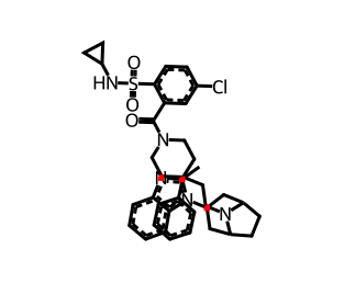 Cc1nc2ccccc2n1C1CC2CCC(C1)N2CCC1(c2ccccc2)CCN(C(=O)c2cc(Cl)ccc2S(=O)(=O)NC2CC2)CC1